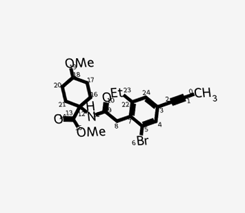 CC#Cc1cc(Br)c(CC(=O)NC2(C(=O)OC)CCC(OC)CC2)c(CC)c1